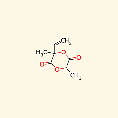 C=CC1(C)OC(=O)C(C)OC1=O